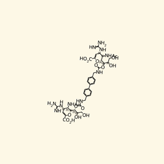 CC(=O)N[C@H]1[C@H]([C@H](OC(=O)NCc2ccc(-c3ccc(CNC(=O)O[C@@H]([C@@H]4OC(C(=O)O)=C[C@H](NC(=N)N)[C@H]4NC(C)=O)[C@H](O)CO)cc3)cc2)[C@H](O)CO)OC(C(=O)O)=C[C@@H]1NC(=N)N